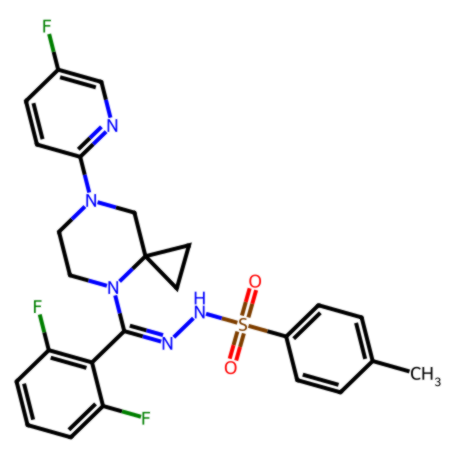 Cc1ccc(S(=O)(=O)N/N=C(/c2c(F)cccc2F)N2CCN(c3ccc(F)cn3)CC23CC3)cc1